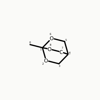 CC12OC[C](CO1)CO2